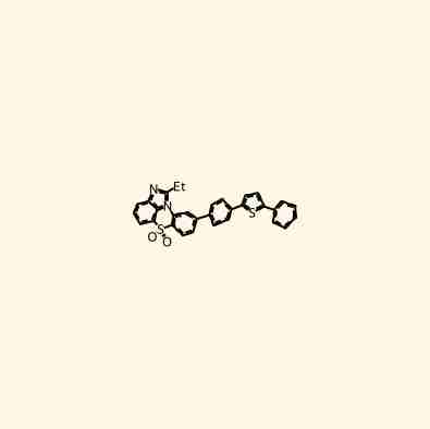 CCc1nc2cccc3c2n1-c1cc(-c2ccc(-c4ccc(-c5ccccc5)s4)cc2)ccc1S3(=O)=O